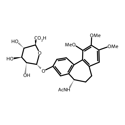 COc1cc2c(c(OC)c1OC)-c1ccc(O[C@H]3O[C@H](C(=O)O)[C@@H](O)[C@H](O)[C@H]3O)cc1[C@@H](NC(C)=O)CC2